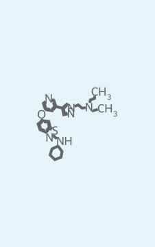 CCCN(CC)CCn1cc(-c2cncc(Oc3ccc4nc(NC5CCCCC5)sc4c3)c2)cn1